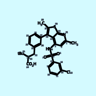 Cc1cc(NS(=O)(=O)c2cccc(Cl)c2)c2c(-c3cccc(CN(C(=O)O)C(C)(C)C)c3)c(C)sc2n1